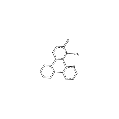 Cn1c(=O)ccc2c3ccccc3c3cccnc3c21